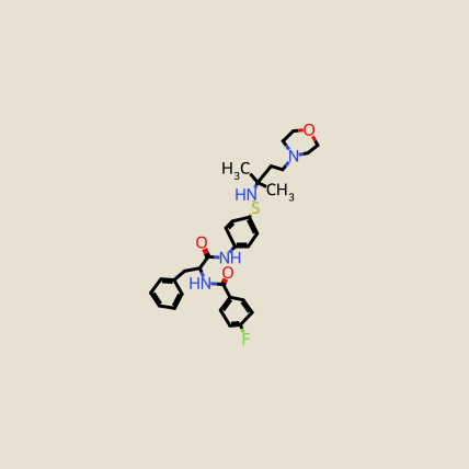 CC(C)(CCN1CCOCC1)NSc1ccc(NC(=O)C(Cc2ccccc2)NC(=O)c2ccc(F)cc2)cc1